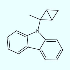 CC1(n2c3ccccc3c3ccccc32)C2CC21